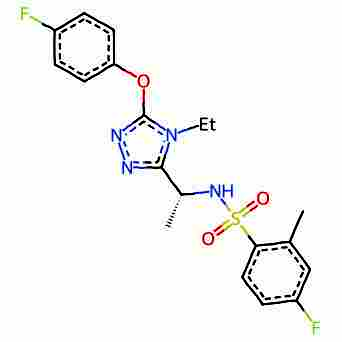 CCn1c(Oc2ccc(F)cc2)nnc1[C@@H](C)NS(=O)(=O)c1ccc(F)cc1C